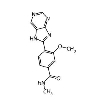 CNC(=O)c1ccc(-c2nc3ncncc3[nH]2)c(OC)c1